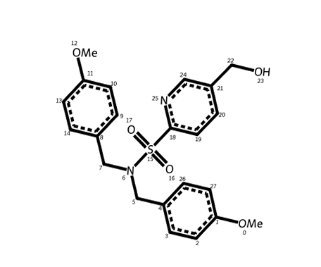 COc1ccc(CN(Cc2ccc(OC)cc2)S(=O)(=O)c2ccc(CO)cn2)cc1